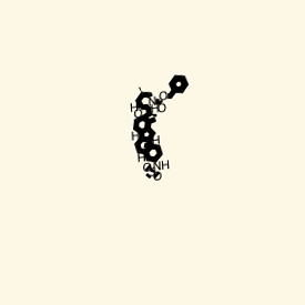 CC1=C2C[C@H]3C(CC[C@@H]4C[C@H](NS(C)(=O)=O)CCC43C)[C@@H]2CCC12O[C@@H]1C[C@H](C)CN(C(=O)OCc3ccccc3)[C@H]1[C@H]2C